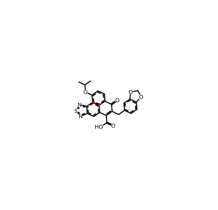 CC(C)Oc1ccc(C(=O)/C(Cc2ccc3c(c2)OCO3)=C(/C(=O)O)c2ccc3nsnc3c2)cc1